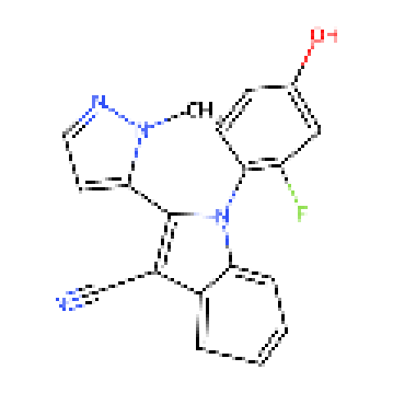 Cn1nccc1-c1c(C#N)c2ccccc2n1-c1ccc(O)cc1F